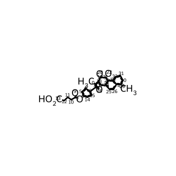 Cc1c(-c2ccc(OC(=O)CCCC(=O)O)cc2)oc2c1C(=O)C(=O)c1c-2ccc2c(C)cccc12